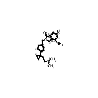 CN(C)CCC1(c2ccc(CN3Cc4c(N)cc(Cl)cc4C3=O)cc2)CC1